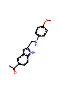 COc1ccc(NCc2cc3cc(C(C)=O)ccc3[nH]2)cc1